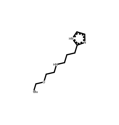 CC(C)(C)COCCNCCCc1ncc[nH]1